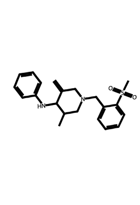 C=C1CN(Cc2ccccc2S(C)(=O)=O)CC(C)C1Nc1ccccc1